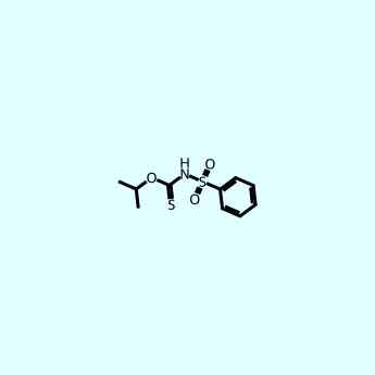 CC(C)OC(=S)NS(=O)(=O)c1ccccc1